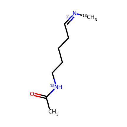 CC(=O)[15NH]CCCC/C=N\[13CH3]